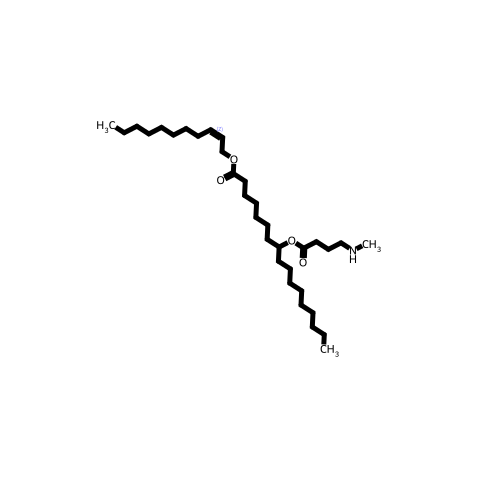 CCCCCCCC/C=C\COC(=O)CCCCCCC(CCCCCCCCC)OC(=O)CCCNC